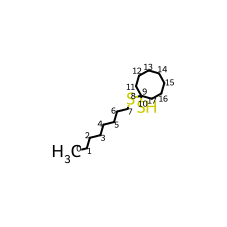 CCCCCCCCSC1(S)CCCCCCC1